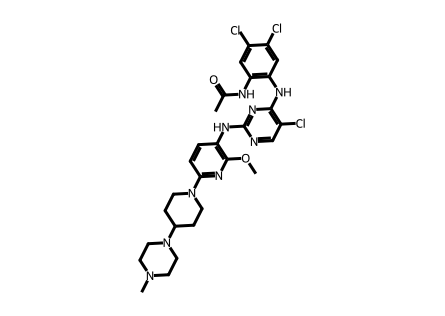 COc1nc(N2CCC(N3CCN(C)CC3)CC2)ccc1Nc1ncc(Cl)c(Nc2cc(Cl)c(Cl)cc2NC(C)=O)n1